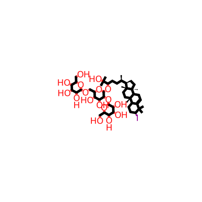 C[C@H](CCC(OC1OC(COC2OC(CO)C(O)C(O)C2O)C(O)C(O)C1OC1OC(CO)C(O)C(O)C1O)C(C)(C)O)[C@H]1CC[C@@]2(C)C3CC=C4C(CC[C@H](I)C4(C)C)[C@]3(C)CC[C@]12C